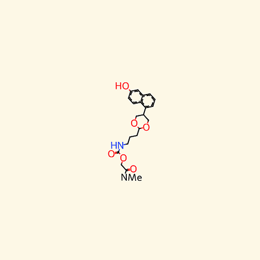 CNC(=O)COC(=O)NCCCC1OCC(c2cccc3cc(O)ccc23)CO1